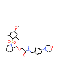 COc1cc(C)c(S(=O)(=O)N2CCCCC2COCC(=O)NCc2ccc(N3CCOCC3)cc2)c(C)c1